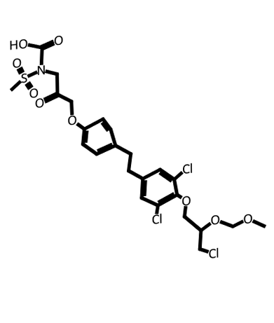 COCOC(CCl)COc1c(Cl)cc(CCc2ccc(OCC(=O)CN(C(=O)O)S(C)(=O)=O)cc2)cc1Cl